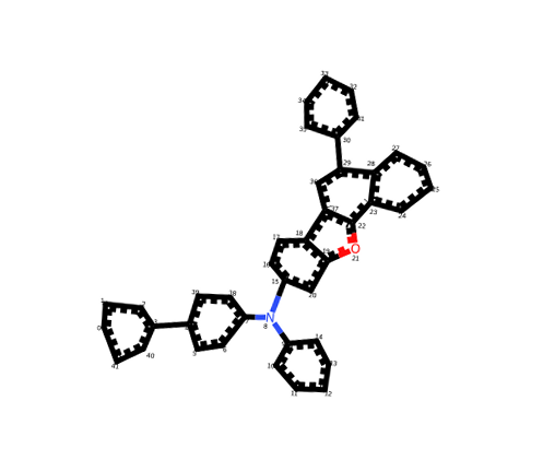 c1ccc(-c2ccc(N(c3ccccc3)c3ccc4c(c3)oc3c5ccccc5c(-c5ccccc5)cc43)cc2)cc1